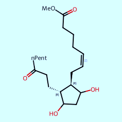 CCCCCC(=O)CC[C@H]1C(O)CC(O)[C@@H]1C/C=C\CCCC(=O)OC